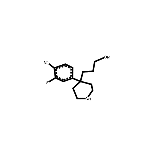 N#Cc1ccc(C2(CCCO)CCNCC2)cc1F